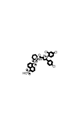 O=C(N[N+]1(OS(=O)(=O)c2cccc3c(S(=O)(=O)O)cccc23)CCCCC1)C1=NN(c2ccc(Cl)cc2Cl)C(c2ccc(Cl)cc2)C1